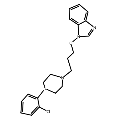 Clc1ccccc1N1CCN(CCCOn2cnc3ccccc32)CC1